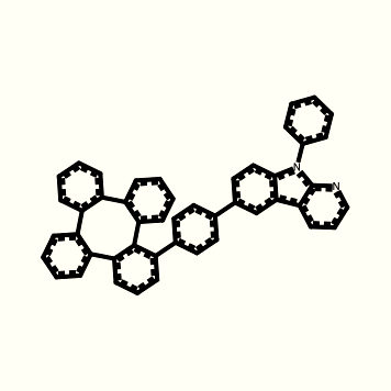 c1ccc(-n2c3ccc(-c4ccc(-c5cccc6c5-c5ccccc5-c5ccccc5-c5ccccc5-6)cc4)cc3c3cccnc32)cc1